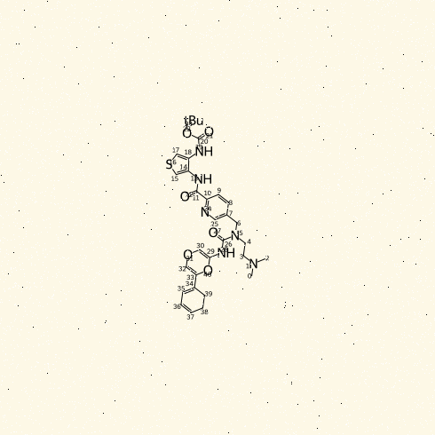 CN(C)CCN(Cc1ccc(C(=O)Nc2cscc2NC(=O)OC(C)(C)C)nc1)C(=O)NC1=COC=C(C2=CC=CCC2)O1